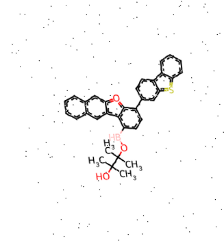 CC(C)(O)C(C)(C)OBc1ccc(-c2ccc3c(c2)sc2ccccc23)c2oc3cc4ccccc4cc3c12